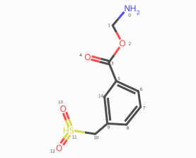 NCOC(=O)c1cccc(C[SH](=O)=O)c1